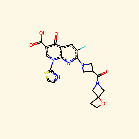 O=C(O)c1cn(-c2nccs2)c2nc(N3CC(C(=O)N4CC5(CCO5)C4)C3)c(F)cc2c1=O